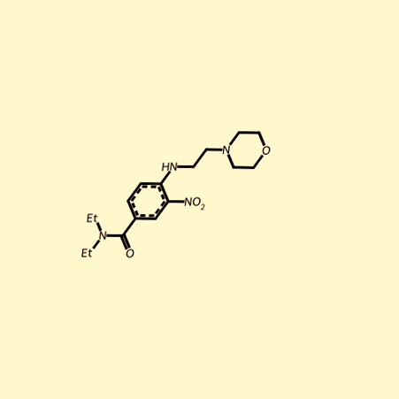 CCN(CC)C(=O)c1ccc(NCCN2CCOCC2)c([N+](=O)[O-])c1